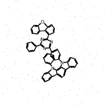 c1ccc(-c2nc(-c3ccc(-n4c5ccccc5c5ccc6c7ccccc7n(-c7ccccc7)c6c54)cc3)nc(-c3cccc4oc5ccccc5c34)n2)cc1